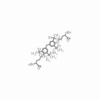 CCCCC(CCCOc1c(C(C)(C)CC)cc(Cc2cc(C(C)(C)CC)c(OCCCC(CCCC)C3CO3)c(C(C)(C)CC)c2)cc1C(C)(C)CC)C1CO1